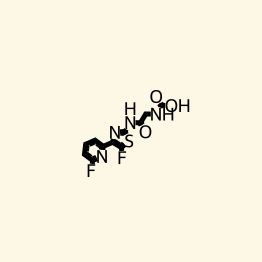 O=C(O)NCC(=O)Nc1nc(-c2cccc(F)n2)c(F)s1